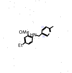 C=C(C)/C=C\C(=C/C)CNc1ccc(CC)cc1OC